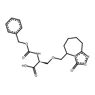 O=C(N[C@@H](COCC1CCCCc2noc(=O)n21)C(=O)O)OCc1ccccc1